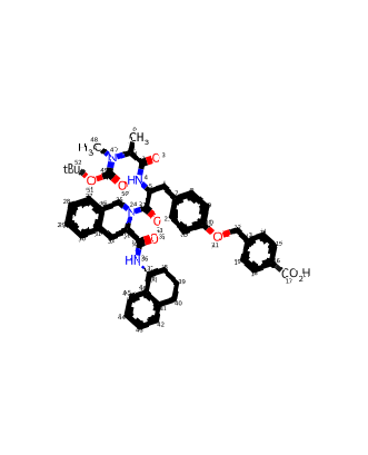 CC(C(=O)NC(Cc1ccc(OCc2ccc(C(=O)O)cc2)cc1)C(=O)N1Cc2ccccc2CC1C(=O)N[C@@H]1CCCc2ccccc21)N(C)C(=O)OC(C)(C)C